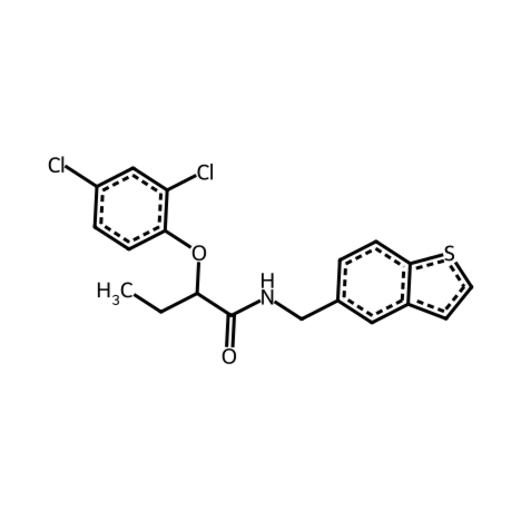 CCC(Oc1ccc(Cl)cc1Cl)C(=O)NCc1ccc2sccc2c1